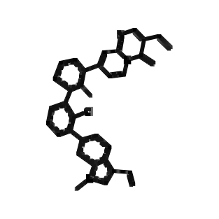 C=CC1=CN=C2C=C(c3cccc(-c4cccc(-c5ccc6c(C=C)cn(C)c6c5)c4Cl)c3C)C=CN2C1=C